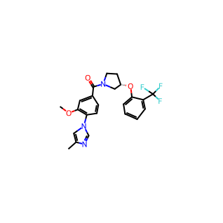 COc1cc(C(=O)N2CC[C@H](Oc3ccccc3C(F)(F)F)C2)ccc1-n1cnc(C)c1